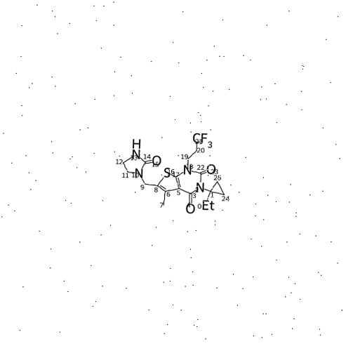 CCC1(n2c(=O)c3c(C)c(CN4CCNC4=O)sc3n(CCC(F)(F)F)c2=O)CC1